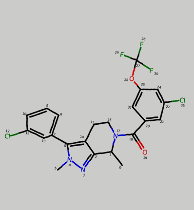 CC1c2nn(C)c(-c3cccc(Cl)c3)c2CCN1C(=O)c1cc(Cl)cc(OC(F)(F)F)c1